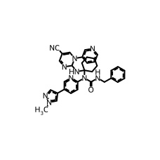 Cn1cc(-c2ccc(N(C(=O)NCc3ccccc3)C3(NC4N=CC(C#N)=CN4c4cccnc4)CCCCC3)nc2)cn1